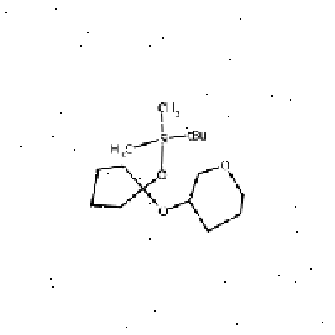 CC(C)(C)[Si](C)(C)OC1(OC2CCCOC2)CCCC1